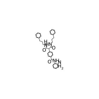 Nc1ccccc1NC(=O)c1ccc(C(C(=O)NCCCc2ccccc2)C(=O)NCCCc2ccccc2)cc1